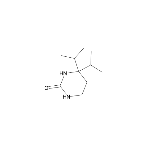 CC(C)C1(C(C)C)CCNC(=O)N1